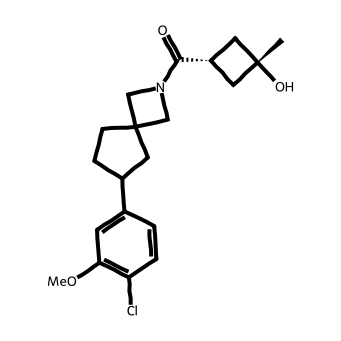 COc1cc(C2CCC3(C2)CN(C(=O)[C@H]2C[C@@](C)(O)C2)C3)ccc1Cl